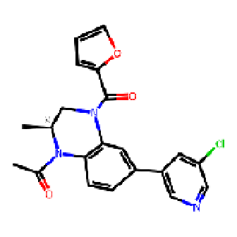 CC(=O)N1c2ccc(-c3cncc(Cl)c3)cc2N(C(=O)c2ccco2)C[C@@H]1C